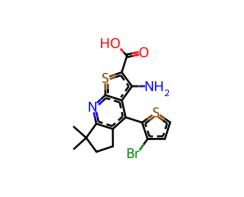 CC1(C)CCc2c1nc1sc(C(=O)O)c(N)c1c2-c1sccc1Br